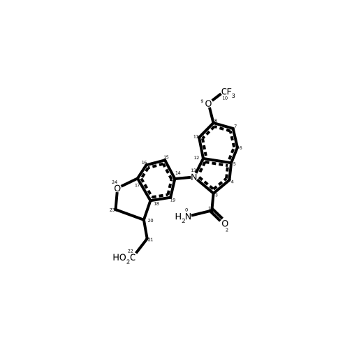 NC(=O)c1cc2ccc(OC(F)(F)F)cc2n1-c1ccc2c(c1)C(CC(=O)O)CO2